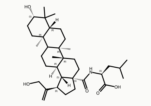 C=C(CO)[C@@H]1CC[C@]2(C(=O)N[C@@H](CC(C)C)C(=O)O)CC[C@]3(C)[C@H](CCC4[C@@]5(C)CC[C@H](O)C(C)(C)[C@@H]5CC[C@]43C)[C@@H]12